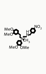 COc1ccc(CC[N+](C)(CCNCc2ccc([N+](=O)[O-])cc2)c2ccc(OC)c(OC)c2)cc1OC